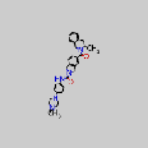 C[C@@H]1Cc2ccccc2CN1C(=O)c1ccc2c(c1)CN(C(=O)Nc1ccc(N3CCN(C)CC3)cc1)C2